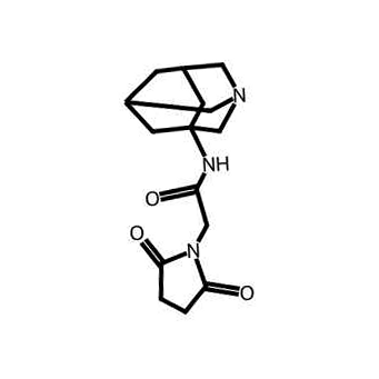 O=C(CN1C(=O)CCC1=O)NC12CC3CC(CN(C3)C1)C2